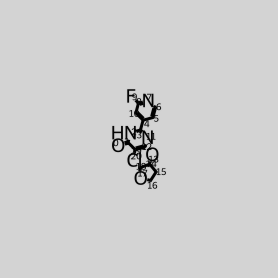 O=c1[nH]c(-c2ccnc(F)c2)nc(O[C@H]2CCOC2)c1Cl